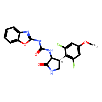 COc1cc(F)c([C@@H]2CNC(=O)C2NC(=O)Nc2nc3ccccc3o2)c(F)c1